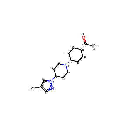 CC(C)c1cnn(C2CCN([C@H]3CC[C@@H](C(=O)C(C)C)CC3)CC2)c1